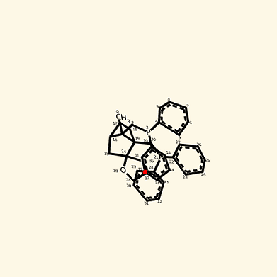 CC1(CP(c2ccccc2)c2ccccc2)C2CCC1(CP(c1ccccc1)c1ccccc1)C1(C2)OCCO1